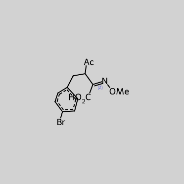 CO/N=C(\C(=O)O)C(Cc1ccc(Br)cc1)C(C)=O